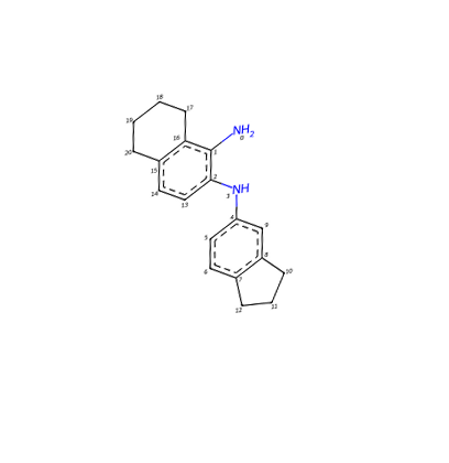 Nc1c(Nc2ccc3c(c2)CCC3)ccc2c1CCCC2